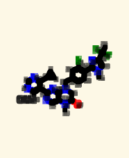 COc1ncnc(C2CC2)c1-c1ncc2c(n1)N(Cc1ccc(-c3nc(C(C)(F)F)cn3C)c(F)c1)CC(=O)N2C